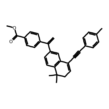 C=C(c1ccc(C(=O)OC)cc1)c1ccc2c(c1)C(C#Cc1ccc(C)cc1)=CCC2(C)C